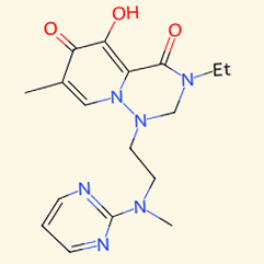 CCN1CN(CCN(C)c2ncccn2)n2cc(C)c(=O)c(O)c2C1=O